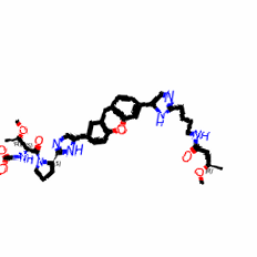 COC(=O)N[C@H](C(=O)N1CCC[C@H]1C1=NCC(c2ccc3c(c2)Cc2ccc(C4CN=C(CCCCNC(=O)C[C@@H](C)OC)N4)cc2O3)N1)[C@@H](C)OC